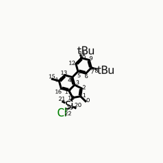 CC1=Cc2c(-c3cc(C(C)(C)C)cc(C(C)(C)C)c3)cc(C)cc2C1[Si](C)(C)Cl